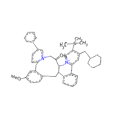 C=C1C[n+]2cc(-c3ccccc3)ccc2-c2cc(OC)ccc2CCC2c3ccccc3-c3cc(CC4CCCCC4)c([Si](C)(C)C)c[n+]3C12